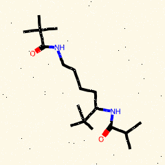 CC(C)C(=O)NC(CCCCNC(=O)C(C)(C)C)C(C)(C)C